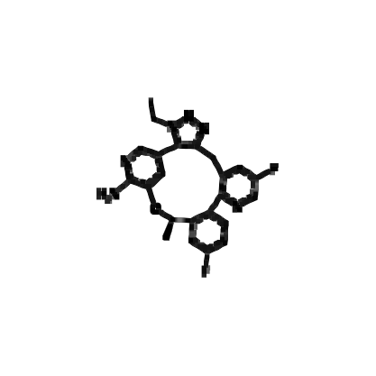 CCn1nnc2c1-c1cnc(N)c(c1)O[C@H](C)c1cc(F)ccc1-c1ncc(F)cc1C2